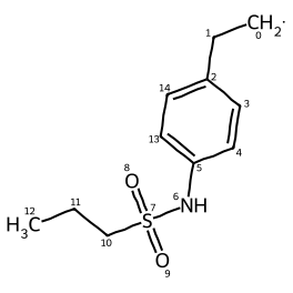 [CH2]Cc1ccc(NS(=O)(=O)CCC)cc1